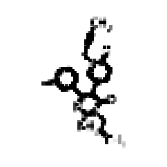 C=CCn1c(N)nc(-c2cccc(F)c2)c(-c2ccc(=O)n(CC#CC)c2)c1=O